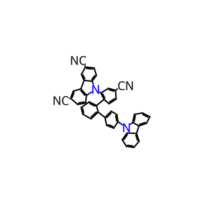 N#Cc1ccc(-c2ccccc2-c2ccc(-n3c4ccccc4c4ccccc43)cc2)c(-n2c3ccc(C#N)cc3c3cc(C#N)ccc32)c1